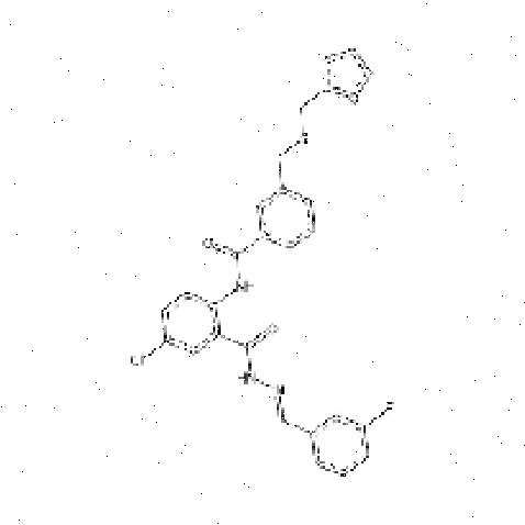 O=C(Nc1ccc(Cl)cc1C(=O)NN=Cc1cccc(F)c1)c1cccc(CSCc2ccco2)c1